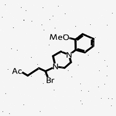 COc1ccccc1N1CCN(C(Br)CCC(C)=O)CC1